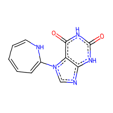 O=c1[nH]c(=O)c2c(ncn2C2=CC=CC=CN2)[nH]1